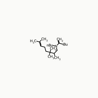 C=C(C(C)CC)N(CCCC)CC(C)C(C)(C)CCC=C(C)C